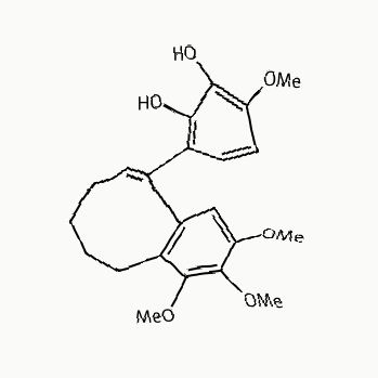 COc1ccc(C2=CCCCCc3c2cc(OC)c(OC)c3OC)c(O)c1O